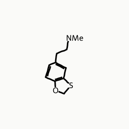 CNCCc1ccc2c(c1)SCO2